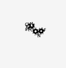 N#C[C@]1(c2ccc(F)cc2)CC[C@@H](Oc2ccnc(Cl)c2C(F)(F)F)CC1